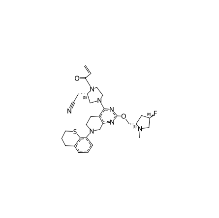 C=CC(=O)N1CCN(c2nc(OC[C@@H]3C[C@@H](F)CN3C)nc3c2CCN(c2cccc4c2SCCC4)C3)C[C@@H]1CC#N